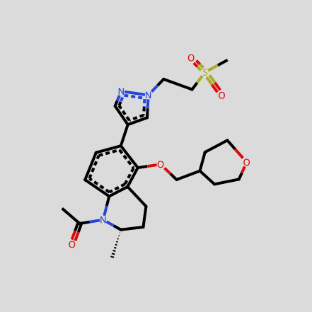 CC(=O)N1c2ccc(-c3cnn(CCS(C)(=O)=O)c3)c(OCC3CCOCC3)c2CC[C@@H]1C